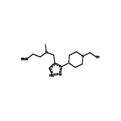 CNCCN(C)Cc1c[nH]nc1C1CCN(CC(C)C)CC1